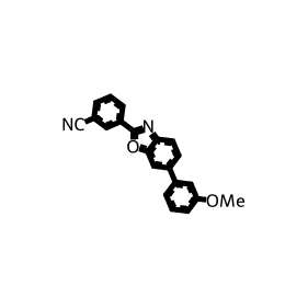 COc1cccc(-c2ccc3nc(-c4cccc(C#N)c4)oc3c2)c1